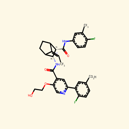 O=C(O)c1ccc(F)c(-c2cc(C(=O)N[C@@H]3C4CCC(/C4=C/C(F)(F)F)[C@@H]3C(=O)Nc3ccc(F)c(C(F)(F)F)c3)c(OCCO)cn2)c1